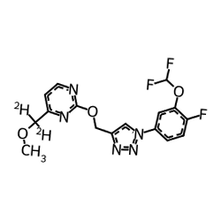 [2H]C([2H])(OC)c1ccnc(OCc2cn(-c3ccc(F)c(OC(F)F)c3)nn2)n1